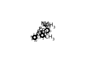 Cc1ccc(Oc2ccccc2)c(C(F)(F)F)c1N1CCC[C@H](C(C)CN)C1